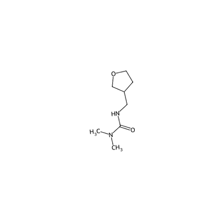 CN(C)C(=O)NCC1CCOC1